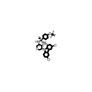 N=S(=O)(N[C@@H]1COC[C@H](n2c3ccc(Cl)cc3c3cc(Cl)ccc32)[C@@H]1O)c1ccc(OC(F)(F)F)cc1